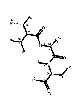 CC(C)C[C@@H](C(=O)C(C)C)N(C)C(=O)[C@@H](NC(=O)C([C@@H](C)C(C)C)N(C)C)C(C)C